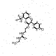 CCNC(=O)NCCOC(=O)C(Oc1cccc(C(F)(F)F)c1)c1ccc(Cl)cc1